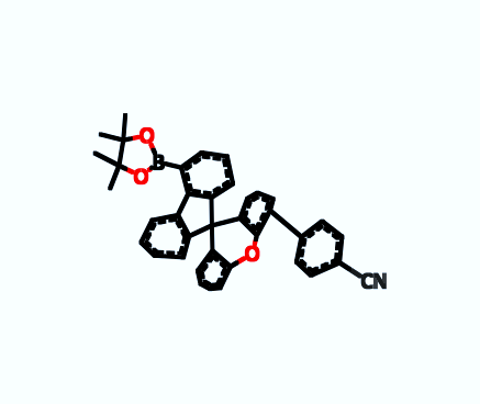 CC1(C)OB(c2cccc3c2-c2ccccc2C32c3ccccc3Oc3c(-c4ccc(C#N)cc4)cccc32)OC1(C)C